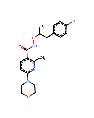 Cc1nc(N2CCOCC2)ccc1C(=O)NOC(C)Cc1ccc(Cl)cc1